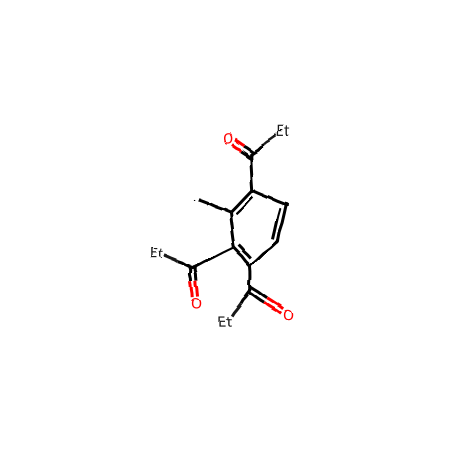 [CH2]c1c(C(=O)CC)ccc(C(=O)CC)c1C(=O)CC